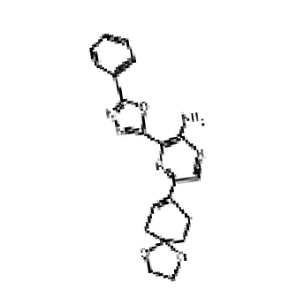 Nc1ncc(C2=CCC3(CC2)OCCO3)nc1-c1nnc(-c2ccccc2)o1